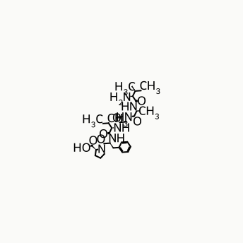 CC[C@H](C)[C@H](N)C(=O)N[C@@H](C)C(=O)NCC(=O)N[C@H](C(=O)N[C@@H](Cc1ccccc1)C(=O)N1CCC[C@H]1C(=O)O)[C@@H](C)CC